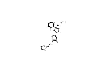 Cc1c(F)cccc1[C@]1(C(=O)NO)CC[C@H](c2cnc(OCCN3CCCC3)c(F)c2)C1